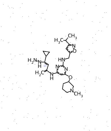 C=C(/C=C(\NN)C1CC1)Nc1cc(OC2CCCN(C)C2)nc(NCc2cc(C(C)C)no2)n1